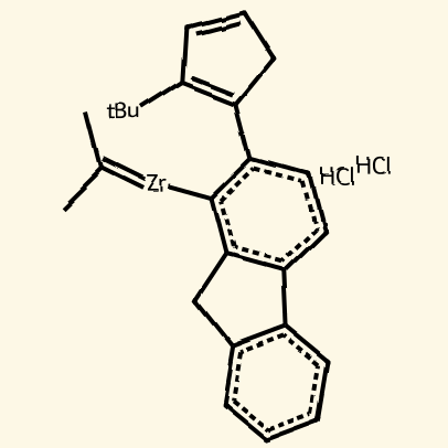 C[C](C)=[Zr][c]1c(C2=C(C(C)(C)C)C=CC2)ccc2c1Cc1ccccc1-2.Cl.Cl